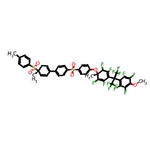 COc1c(F)c(F)c(C(C2=C(F)C(F)C(C)(Oc3ccc(S(=O)(=O)c4ccc(C5=CCC(C)(S(=O)(=O)c6ccc(C)cc6)C=C5)cc4)cc3)C(F)=C2F)(C(F)(F)F)C(F)(F)F)c(F)c1F